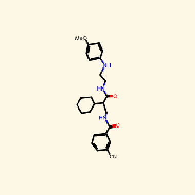 COc1ccc(NCCNC(=O)C(CNC(=O)c2cccc(C#N)c2)C2CCCCC2)cc1